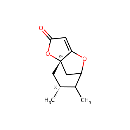 CC1C2C[C@]3(C[C@H]1C)OC(=O)C=C3O2